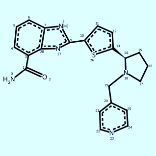 NC(=O)c1cccc2[nH]c(-c3ccc([C@H]4CCCN4Cc4ccncc4)s3)nc12